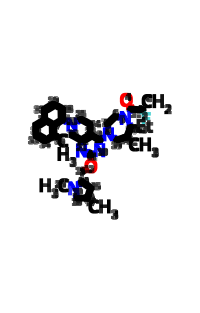 C=C(F)C(=O)N1CCN(c2nc(OC[C@@H]3C[C@H](C)CN3C)nc3c2CCN(c2cccc4cccc(C)c24)C3)C[C@H](C)[C@@H]1CC